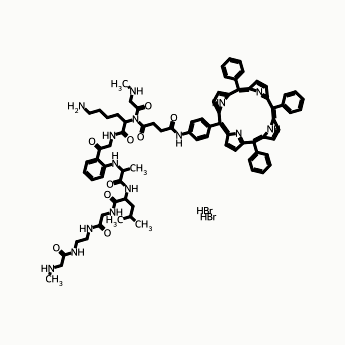 Br.Br.CNCC(=O)NCCNC(=O)CNC(=O)C(CC(C)C)NC(=O)C(C)Nc1ccccc1C(=O)CNC(=O)C(CCCCN)N(C(=O)CCC(=O)Nc1ccc(-c2c3nc(c(-c4ccccc4)c4ccc([nH]4)c(-c4ccccc4)c4nc(c(-c5ccccc5)c5ccc2[nH]5)C=C4)C=C3)cc1)C(=O)CNC